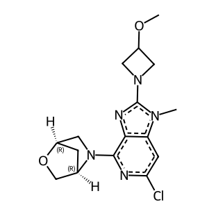 COC1CN(c2nc3c(N4C[C@H]5C[C@@H]4CO5)nc(Cl)cc3n2C)C1